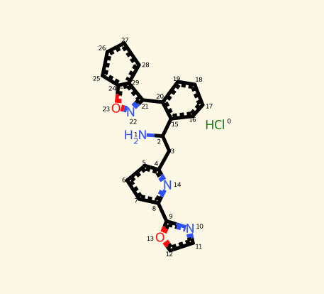 Cl.NC(Cc1cccc(-c2ncco2)n1)c1ccccc1-c1noc2ccccc12